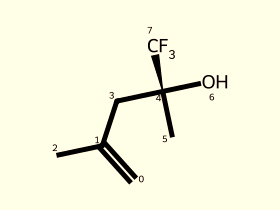 C=C(C)C[C@@](C)(O)C(F)(F)F